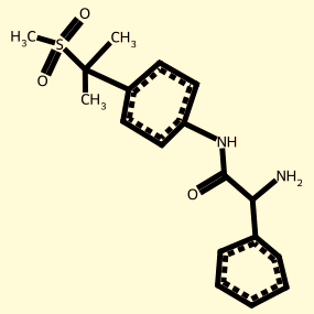 CC(C)(c1ccc(NC(=O)C(N)c2ccccc2)cc1)S(C)(=O)=O